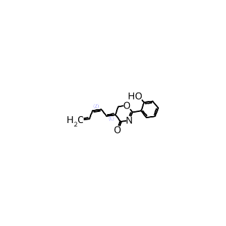 C=C/C=C\C=C1/COC(c2ccccc2O)=NC1=O